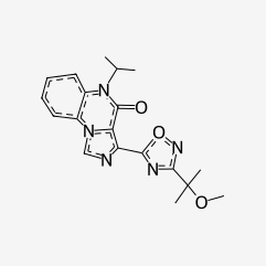 COC(C)(C)c1noc(-c2ncn3c2c(=O)n(C(C)C)c2ccccc23)n1